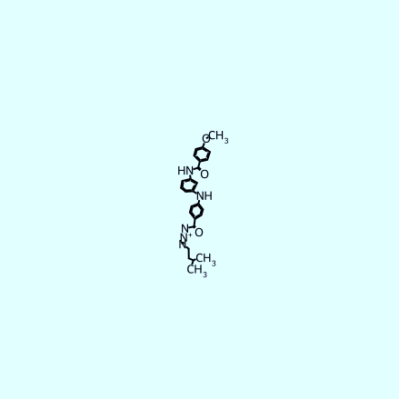 COc1ccc(C(=O)Nc2cccc(Nc3ccc(C(=O)N=[N+]=NCCC(C)C)cc3)c2)cc1